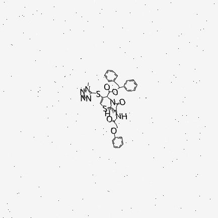 Cn1nnnc1SC1=CS[C@@H]2[C@H](NC(=O)COc3ccccc3)C(=O)N2C1C(=O)OC(c1ccccc1)c1ccccc1